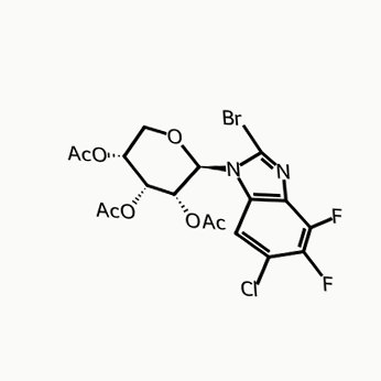 CC(=O)O[C@@H]1[C@H](OC(C)=O)[C@H](OC(C)=O)CO[C@H]1n1c(Br)nc2c(F)c(F)c(Cl)cc21